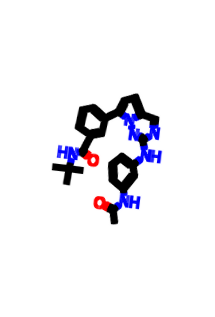 CC(=O)Nc1cccc(Nc2ncc3ccc(-c4cccc(C(=O)NC(C)(C)C)c4)n3n2)c1